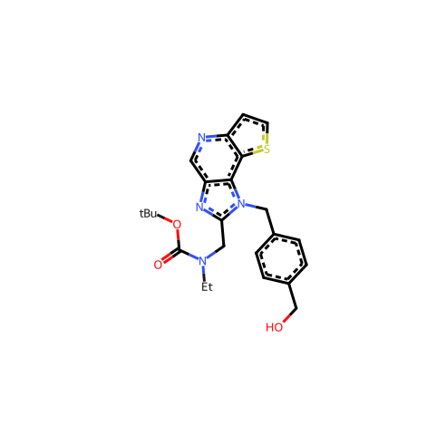 CCN(Cc1nc2cnc3ccsc3c2n1Cc1ccc(CO)cc1)C(=O)OC(C)(C)C